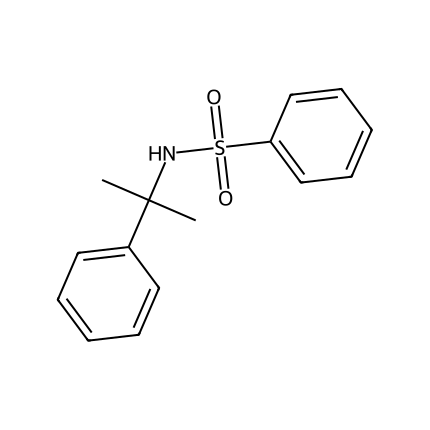 CC(C)(NS(=O)(=O)c1ccccc1)c1ccccc1